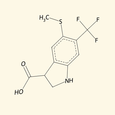 CSc1cc2c(cc1C(F)(F)F)NCC2C(=O)O